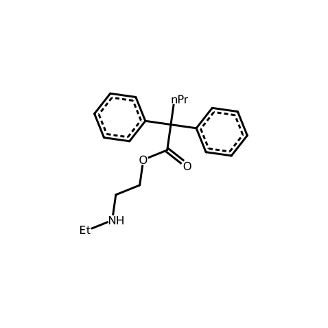 CCCC(C(=O)OCCNCC)(c1ccccc1)c1ccccc1